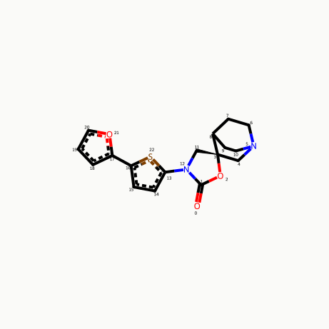 O=C1O[C@]2(CN3CCC2CC3)CN1c1ccc(-c2ccco2)s1